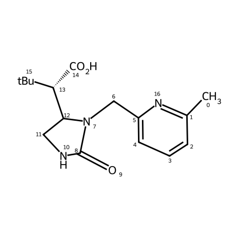 Cc1cccc(CN2C(=O)NCC2[C@@H](C(=O)O)C(C)(C)C)n1